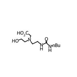 CCCCNC(=O)NCCN(CCO)CC(=O)O